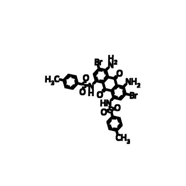 Cc1ccc(S(=O)(=O)Nc2cc(Br)c(N)c3c2C(=O)c2c(NS(=O)(=O)c4ccc(C)cc4)cc(Br)c(N)c2C3=O)cc1